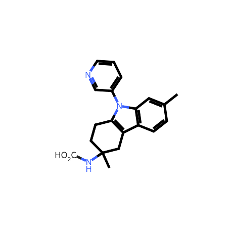 Cc1ccc2c3c(n(-c4cccnc4)c2c1)CCC(C)(NC(=O)O)C3